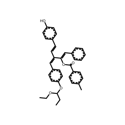 CCOC(CC)Oc1ccc(C=C(C=Cc2ccc(O)cc2)C(=Cc2ccccc2)OC(=O)c2ccc(C)cc2)cc1